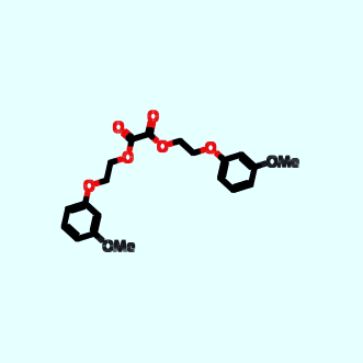 COc1cccc(OCCOC(=O)C(=O)OCCOc2cccc(OC)c2)c1